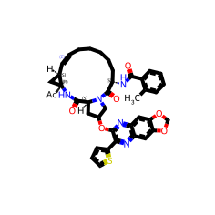 CC(=O)[C@@]12C[C@H]1/C=C\CCCCC[C@H](NC(=O)c1ccccc1C)C(=O)N1CC(Oc3nc4cc5c(cc4nc3-c3cccs3)OCO5)C[C@H]1C(=O)N2